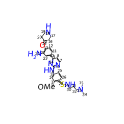 COc1cc(Nc2nccc(-c3ccc(OC4CCNCC4)c(N)c3)n2)ccc1SNCCCN(C)C